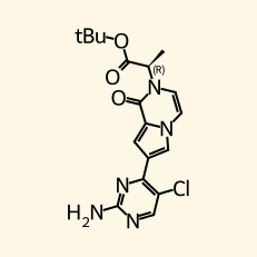 C[C@H](C(=O)OC(C)(C)C)n1ccn2cc(-c3nc(N)ncc3Cl)cc2c1=O